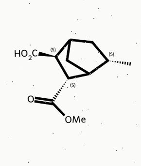 COC(=O)[C@H]1C2CC(C[C@@H]2C)[C@@H]1C(=O)O